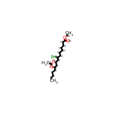 CCCCCC(CCCC(Br)CCCCCCC(=O)OCC)OC(C)=O